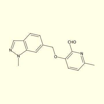 Cc1ccc(OCc2ccc3cnn(C)c3c2)c(C=O)n1